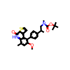 COc1cc(C)c2[nH]c(=O)c3sccc3c2c1-c1ccc(C(C)CN(C)C(=O)OC(C)(C)C)cc1